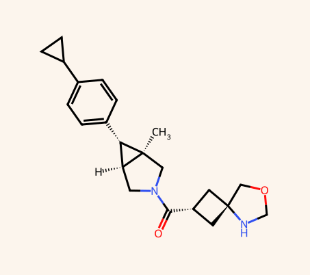 C[C@]12CN(C(=O)[C@H]3C[C@]4(COCN4)C3)C[C@H]1[C@@H]2c1ccc(C2CC2)cc1